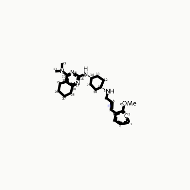 COc1ccccc1/C=C/CN[C@H]1CC[C@@H](Nc2nc3c(c(N(C)C)n2)CCCC3)CC1